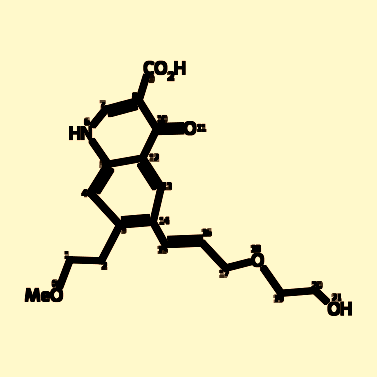 COCCc1cc2[nH]cc(C(=O)O)c(=O)c2cc1C=CCOCCO